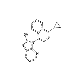 Sc1nc2cccnc2n1-c1ccc(C2CC2)c2ccccc12